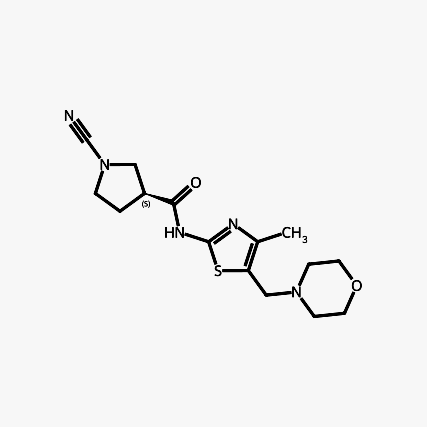 Cc1nc(NC(=O)[C@H]2CCN(C#N)C2)sc1CN1CCOCC1